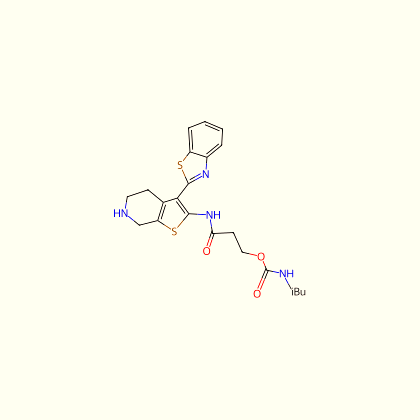 CCC(C)NC(=O)OCCC(=O)Nc1sc2c(c1-c1nc3ccccc3s1)CCNC2